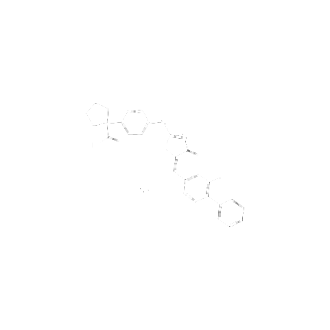 O=C1N=C(Nc2ccc(C3(C(=O)O)CCCC3)cc2)S/C1=C/c1ccc(-c2ccccc2)c(F)c1.[NaH]